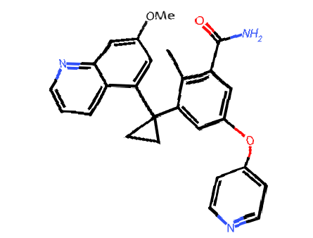 COc1cc(C2(c3cc(Oc4ccncc4)cc(C(N)=O)c3C)CC2)c2cccnc2c1